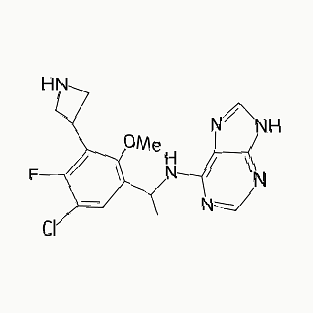 COc1c(C(C)Nc2ncnc3[nH]cnc23)cc(Cl)c(F)c1C1CNC1